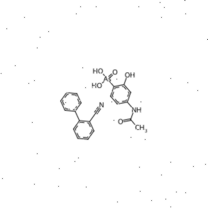 CC(=O)Nc1ccc([As](=O)(O)O)c(O)c1.N#Cc1ccccc1-c1ccccc1